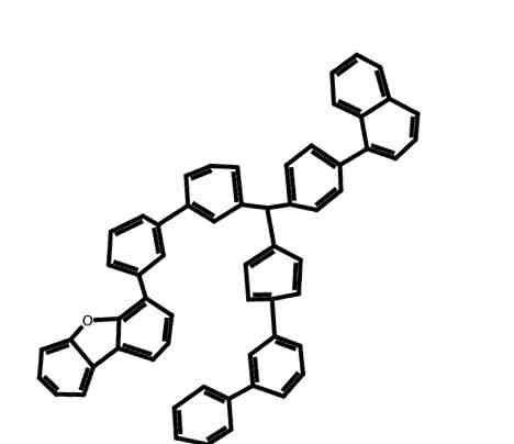 c1ccc(-c2cccc(-c3ccc(C(c4ccc(-c5cccc6ccccc56)cc4)c4cccc(-c5cccc(-c6cccc7c6oc6ccccc67)c5)c4)cc3)c2)cc1